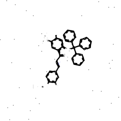 COc1ccc(/C=C/c2nn(C(c3ccccc3)(c3ccccc3)c3ccccc3)c3cc(F)c([N+](=O)[O-])cc23)cc1F